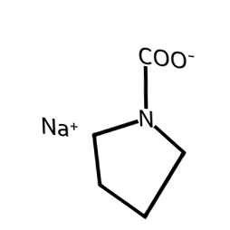 O=C([O-])N1CCCC1.[Na+]